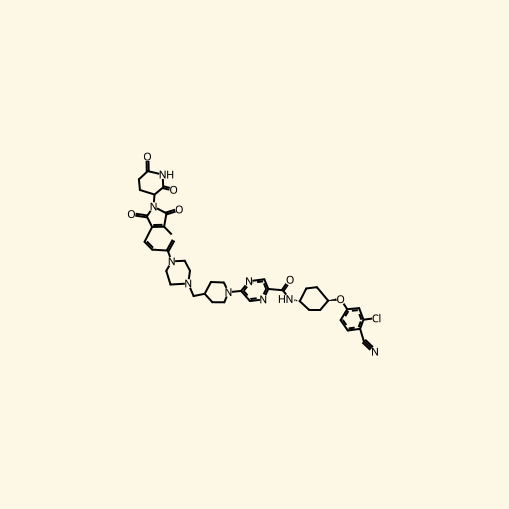 C=C(/C=C\C1=C(C)C(=O)N(C2CCC(=O)NC2=O)C1=O)N1CCN(CC2CCN(c3cnc(C(=O)N[C@H]4CC[C@H](Oc5ccc(C#N)c(Cl)c5)CC4)cn3)CC2)CC1